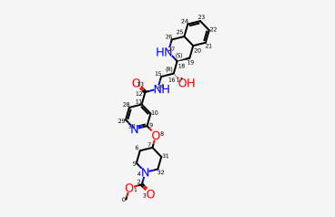 COC(=O)N1CCC(Oc2cc(C(=O)NC[C@@H](O)[C@@H]3CC4C=CC=CC4CN3)ccn2)CC1